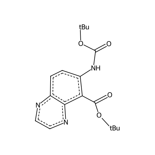 CC(C)(C)OC(=O)Nc1ccc2nccnc2c1C(=O)OC(C)(C)C